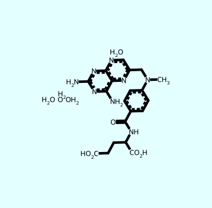 CN(Cc1cnc2nc(N)nc(N)c2n1)c1ccc(C(=O)NC(CCC(=O)O)C(=O)O)cc1.O.O.O.O